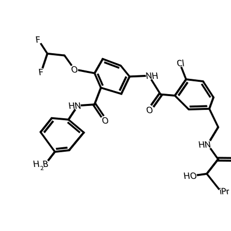 Bc1ccc(NC(=O)c2cc(NC(=O)c3cc(CNC(=O)C(O)C(C)C)ccc3Cl)ccc2OCC(F)F)cc1